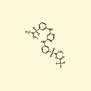 CN(C)S(=O)(=O)c1cccc(Nc2cc(Nc3cccc(S(=O)(=O)N(C)OC(=O)C(F)(F)F)c3)ncn2)c1